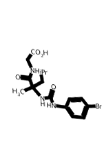 CC(C)CC(C)(NC(=O)Nc1ccc(Br)cc1)C(=O)NCC(=O)O